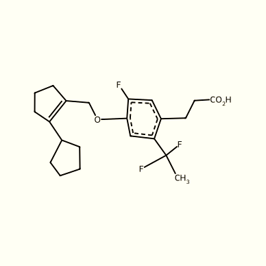 CC(F)(F)c1cc(OCC2=C(C3CCCC3)CCC2)c(F)cc1CCC(=O)O